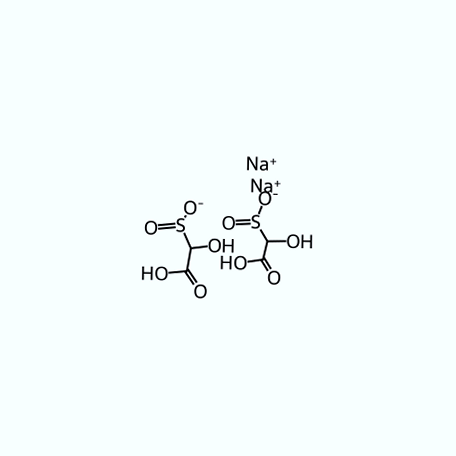 O=C(O)C(O)S(=O)[O-].O=C(O)C(O)S(=O)[O-].[Na+].[Na+]